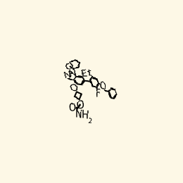 CCc1cc(OCc2ccccc2)c(F)cc1-c1cc(OC2CC(OC(N)=O)C2)c2cnn(C3CCCCO3)c2c1